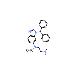 CN(C)CCN(C=O)c1ccc2ncn(C(c3ccccc3)c3ccccc3)c2c1